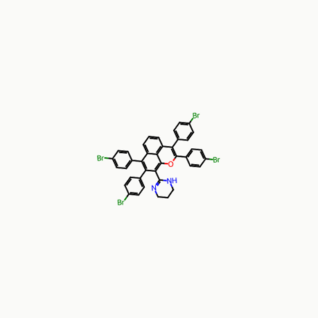 Brc1ccc(C2=C(c3ccc(Br)cc3)c3cccc4c(-c5ccc(Br)cc5)c(-c5ccc(Br)cc5)c(C5=NCCCN5)c(c34)O2)cc1